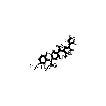 Cc1ccc(F)c(N(C(N)=O)c2ccc(-c3csc4c(-c5ccsc5)cnc(N)c34)cc2)c1